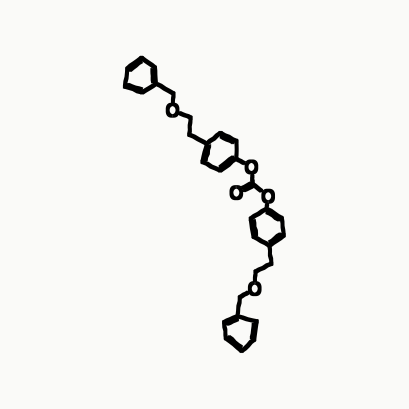 O=C(Oc1ccc(CCOCc2ccccc2)cc1)Oc1ccc(CCOCc2ccccc2)cc1